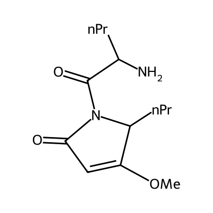 CCCC(N)C(=O)N1C(=O)C=C(OC)C1CCC